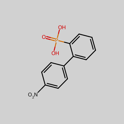 O=[N+]([O-])c1ccc(-c2ccccc2P(=O)(O)O)cc1